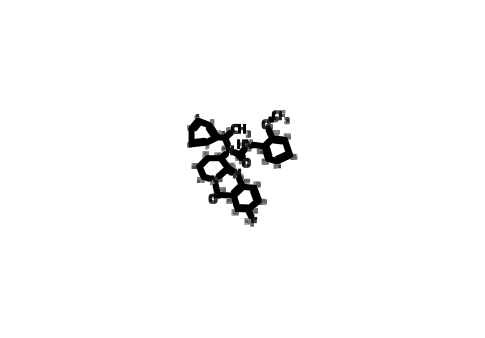 CC(c1ccccc1)N(C(=O)Nc1ccccc1OC(F)(F)F)C1CCCn2c1nc1ccc(F)cc1c2=O